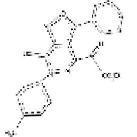 CCOC(=O)C(=O)c1nn(-c2ccc(C)cc2)c(=O)c2noc(-c3ccccc3)c12